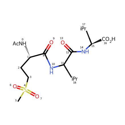 CC(=O)N[C@@H](CCS(C)(=O)=O)C(=O)NC(C(=O)N[C@H](C(=O)O)C(C)C)C(C)C